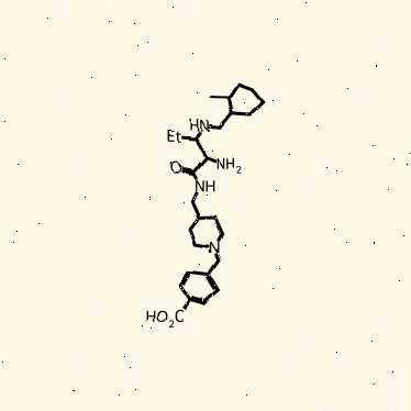 CCC(NCC1CCCCC1C)C(N)C(=O)NCC1CCN(Cc2ccc(C(=O)O)cc2)CC1